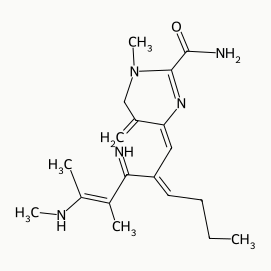 C=C1CN(C)C(C(N)=O)=N/C1=C/C(=C\CCC)C(=N)/C(C)=C(\C)NC